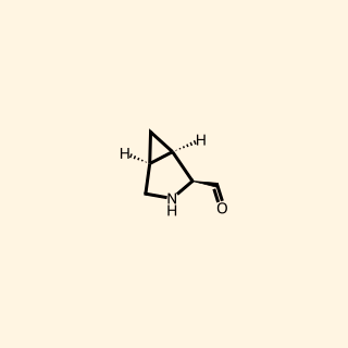 O=C[C@H]1NC[C@H]2C[C@H]21